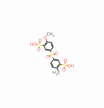 COc1ccc(S(=O)(=O)c2ccc(C)c(S(=O)(=O)O)c2)cc1S(=O)(=O)O